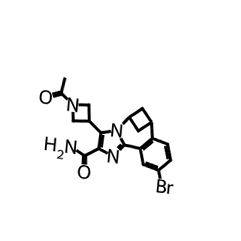 CC(=O)N1CC(c2c(C(N)=O)nc3n2C2CC(C2)c2ccc(Br)cc2-3)C1